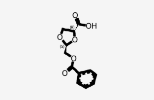 O=C(OC[C@H]1OC[C@H](C(=O)O)O1)c1ccccc1